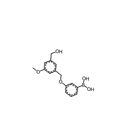 COc1cc(CO)cc(COc2cccc(B(O)O)c2)c1